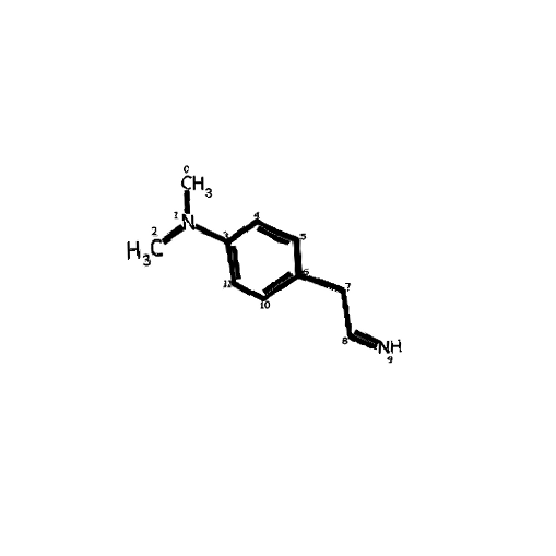 CN(C)c1ccc(CC=N)cc1